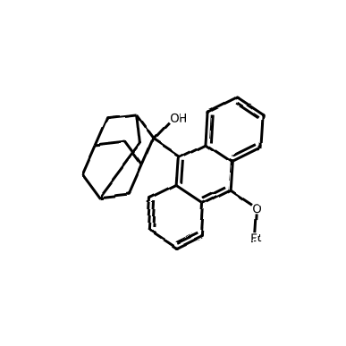 CCOc1c2ccccc2c(C2(O)C3CC4CC(C3)CC2C4)c2ccccc12